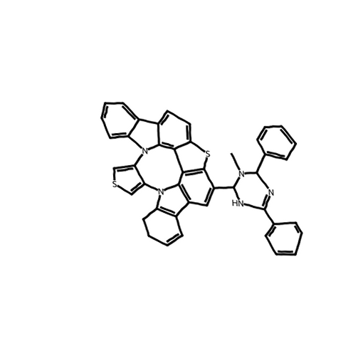 CN1C(c2ccccc2)N=C(c2ccccc2)NC1c1cc2c3c(n4c5cscc5n5c6ccccc6c6ccc7sc1c(c7c65)c24)CCC=C3